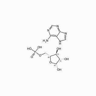 Nc1ncnc2nc[nH]c12.O=P(O)(O)OC[C@H]1O[C@@H](O)[C@@H](O)[C@@H]1O